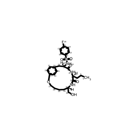 CCC[C@@H]1NC(=O)[C@@H](NS(=O)(=O)c2ccc(F)cc2)Cc2ccc(cc2)OCCCC[C@@H](CO)NC1=O